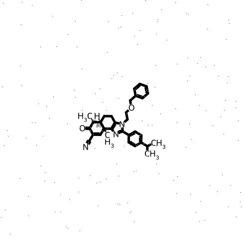 CC(C)c1ccc(-c2nc3c(n2CCOCc2ccccc2)CC[C@@H]2[C@@H](C)C(=O)C(C#N)=C[C@@]32C)cc1